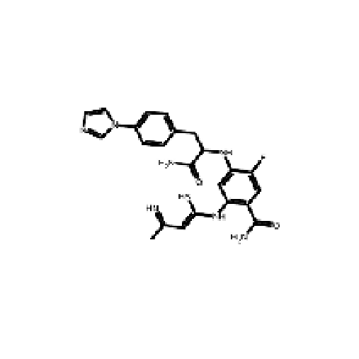 CC(=N)/C=C(\S)Nc1cc(NC(Cc2ccc(-n3ccnc3)cc2)C(N)=O)c(F)cc1C(N)=O